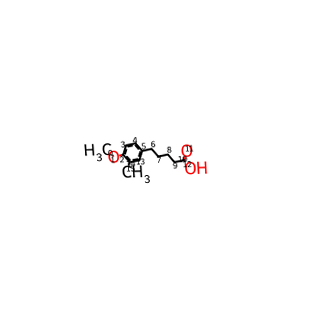 COc1ccc(CCCCC(=O)O)cc1C